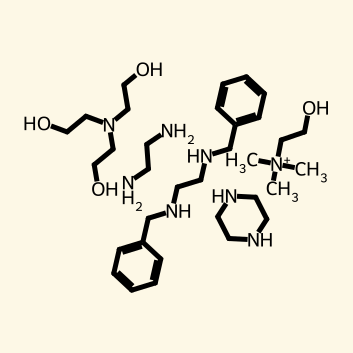 C1CNCCN1.C[N+](C)(C)CCO.NCCN.OCCN(CCO)CCO.c1ccc(CNCCNCc2ccccc2)cc1